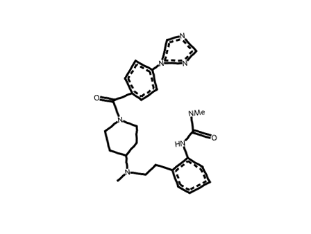 CNC(=O)Nc1ccccc1CCN(C)C1CCN(C(=O)c2ccc(-n3cncn3)cc2)CC1